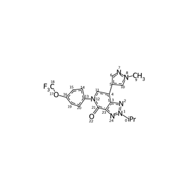 CC(C)n1nc2c(-c3cnn(C)c3)cn(-c3ccc(OC(F)(F)F)cc3)c(=O)c2n1